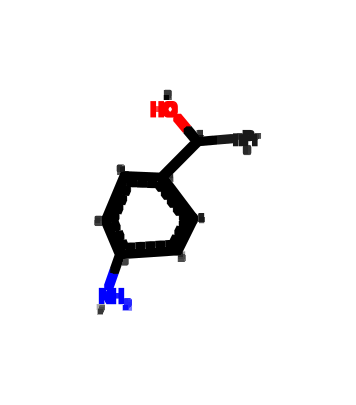 CCCC(O)c1ccc(N)cc1